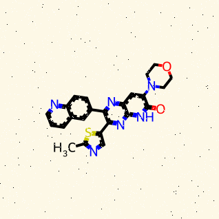 Cc1ncc(-c2nc3[nH]c(=O)c(N4CCOCC4)cc3nc2-c2ccc3ncccc3c2)s1